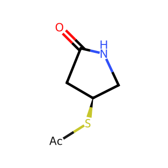 CC(=O)S[C@@H]1CNC(=O)C1